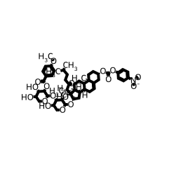 COc1ccc(C(=O)OC2C(OC3C(O)COC(O[C@H]4C[C@H]5[C@@H]6CC=C7C[C@@H](OC(=O)Oc8ccc([N+](=O)[O-])cc8)CC[C@]7(C)C6CC[C@]5(C)[C@@]4(O)[C@H](C)C(=O)CCC(C)C)C3C)OCC(O)C2O)cc1